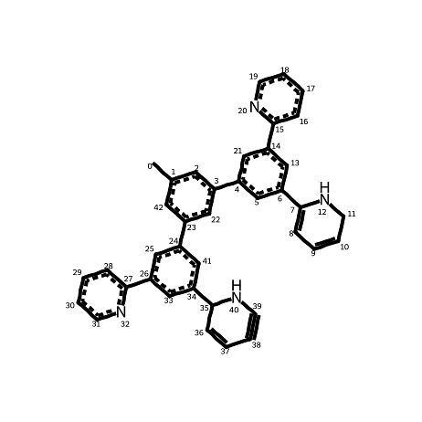 Cc1cc(-c2cc(C3=CC=CCN3)cc(-c3ccccn3)c2)cc(-c2cc(-c3ccccn3)cc(C3C=CC#CN3)c2)c1